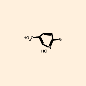 Cl.O=C(O)c1ccc(Br)nc1